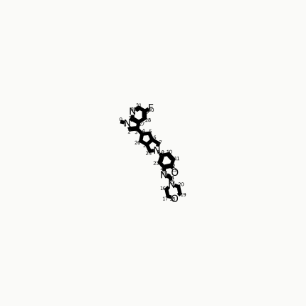 Cn1cc(C2CC3CN(c4ccc5oc(N6CCOCC6)nc5c4)CC3C2)c2cc(F)cnc21